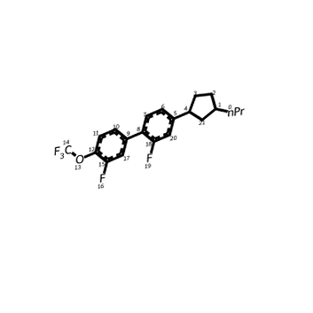 CCCC1CCC(c2ccc(-c3ccc(OC(F)(F)F)c(F)c3)c(F)c2)C1